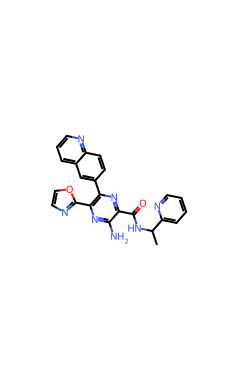 CC(NC(=O)c1nc(-c2ccc3ncccc3c2)c(-c2ncco2)nc1N)c1ccccn1